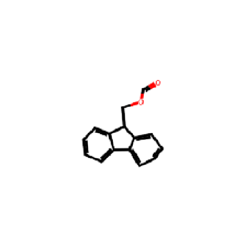 O=COCC1c2ccccc2-c2ccccc21